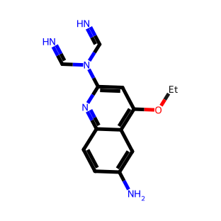 CCOc1cc(N(C=N)C=N)nc2ccc(N)cc12